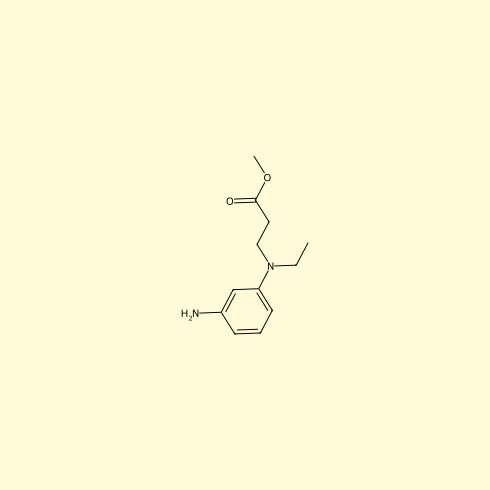 CCN(CCC(=O)OC)c1cccc(N)c1